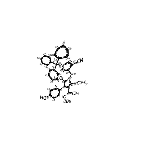 Cc1c(C(=O)OC(C)(C)C)c(-c2ccc(C#N)cc2)c(C)n1Cc1nn(C(c2ccccc2)(c2ccccc2)c2ccccc2)cc1C#N